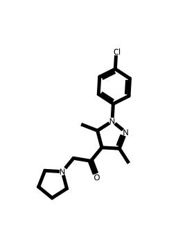 CC1=NN(c2ccc(Cl)cc2)C(C)C1C(=O)CN1CCCC1